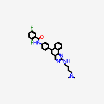 CN(C)CCCCNc1ncc2c(n1)-c1ccccc1C(c1ccc(NC(=O)c3cc(F)ccc3F)cc1)C2